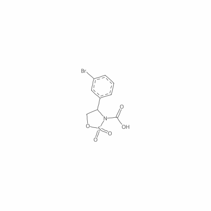 O=C(O)N1C(c2cccc(Br)c2)COS1(=O)=O